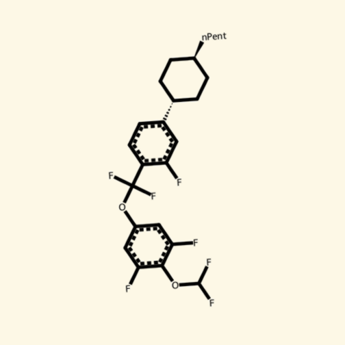 CCCCC[C@H]1CC[C@H](c2ccc(C(F)(F)Oc3cc(F)c(OC(F)F)c(F)c3)c(F)c2)CC1